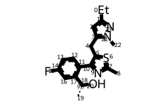 CCc1cc(Cc2sc(C)nc2-c2ccc(F)cc2[C@@H](C)O)n(C)n1